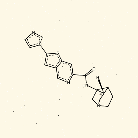 O=C(N[C@H]1CN2CCC1CC2)c1cc2sc(-n3ccnn3)cc2cn1